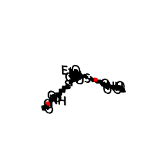 C=CC(=O)OCCNC(=O)OCCCCCCSCCCn1c(=O)n(CC)c(=O)n(CCCSCCCCCCOC(=O)NCCOC(=O)C=C)c1=O